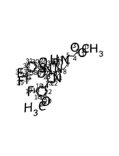 COC(=O)CCN1CCN2c3ncc(-c4cc(F)cc(OC)c4)cc3N(S(=O)(=O)c3cccc(C(F)(F)F)c3)C[C@@H]2C1